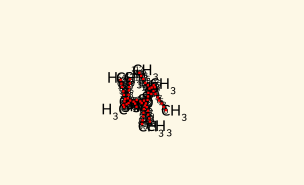 CCCCCCCCCCCCc1c2cc(-c3cc4c(s3)-c3sc(-c5ccc(-c6cc7c(s6)-c6sc(C)cc6OC7(CCCCCCCCCCCC)CCCCCCCCCCCC)c6nsnc56)cc3C(CCCCCCCCCCCC)(CCCCCCCCCCCC)O4)sc2c(CCCCCCCCCCCC)c2cc(C)sc12